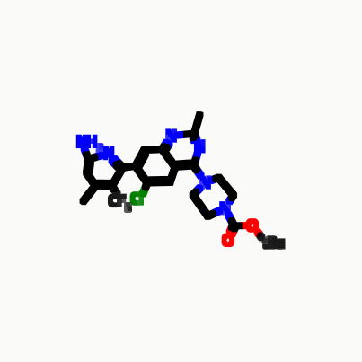 Cc1nc(N2CCN(C(=O)OC(C)(C)C)CC2)c2cc(Cl)c(-c3nc(N)cc(C)c3C(F)(F)F)cc2n1